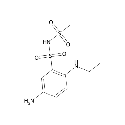 CCNc1ccc(N)cc1S(=O)(=O)NS(C)(=O)=O